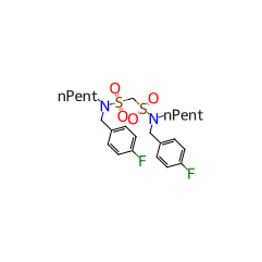 CCCCCN(Cc1ccc(F)cc1)S(=O)(=O)CS(=O)(=O)N(CCCCC)Cc1ccc(F)cc1